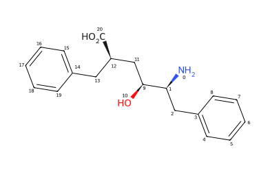 N[C@@H](Cc1ccccc1)[C@@H](O)C[C@@H](Cc1ccccc1)C(=O)O